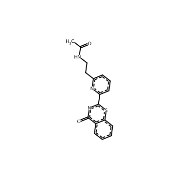 CC(=O)NCCc1cccc(-c2nc(=O)c3ccccc3s2)n1